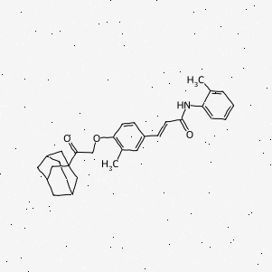 Cc1ccccc1NC(=O)/C=C/c1ccc(OCC(=O)C23CC4CC(CC(C4)C2)C3)c(C)c1